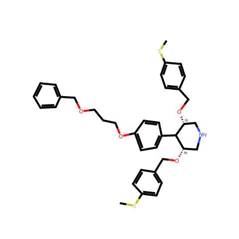 CSc1ccc(CO[C@H]2CNC[C@@H](OCc3ccc(SC)cc3)C2c2ccc(OCCCOCc3ccccc3)cc2)cc1